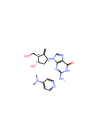 C=C1[C@H](CO)[C@@H](O)C[C@@H]1n1cnc2c(=O)[nH]c(N)nc21.CN(C)c1ccncc1